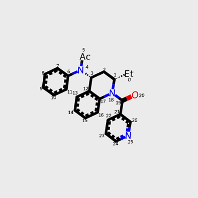 CC[C@H]1C[C@@H](N(C(C)=O)c2ccccc2)c2ccccc2N1C(=O)c1cccnc1